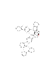 c1ccc2c(c1)-c1ccccc1-n1c3cc4c5ccccc5n(-c5nc6c(nc5-n5c7ccccc7c7ccccc75)oc5ccccc56)c4cc3c3cccc-2c31